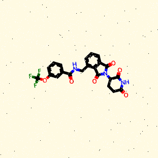 O=C1CCC(N2C(=O)c3cccc(CNC(=O)c4cccc(OC(F)(F)F)c4)c3C2=O)C(=O)N1